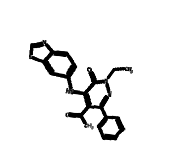 CCn1nc(-c2ccccc2)c(C(C)=O)c(Nc2ccc3ncsc3c2)c1=O